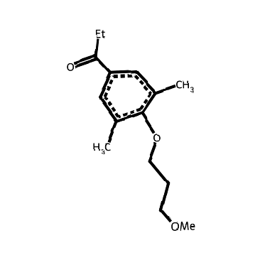 CCC(=O)c1cc(C)c(OCCCOC)c(C)c1